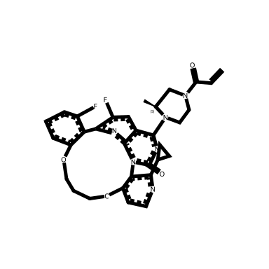 C=CC(=O)N1CCN(c2nc(=O)n3c4nc(c(F)cc24)-c2c(F)cccc2OCCCCc2ccnc(C4CC4)c2-3)[C@@H](C)C1